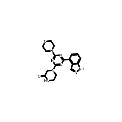 O=C1CN(c2nc(-c3cccc4[nH]ncc34)nc(N3CCOCC3)n2)CCN1